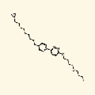 CCCCOCCCCOc1ccc(-c2ccc(CCCCCCCCCC3CC3)cn2)nn1